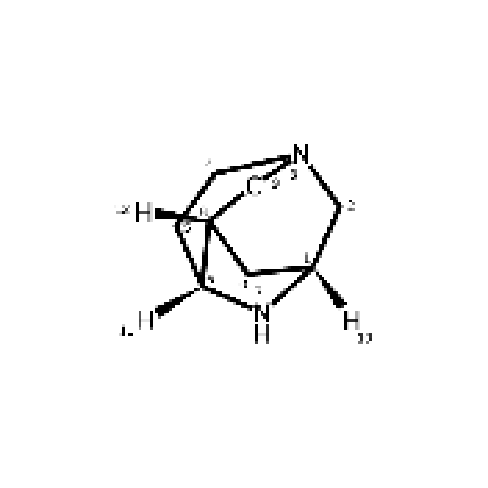 C1[C@@H]2CN3CC[C@@H](N2)[C@@H]1C3